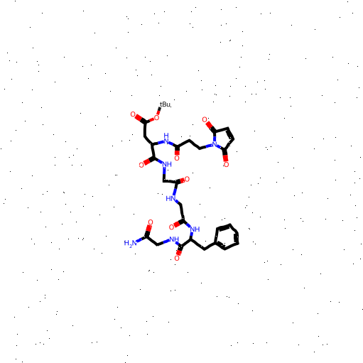 CC(C)(C)OC(=O)CC(NC(=O)CCN1C(=O)C=CC1=O)C(=O)NCC(=O)NCC(=O)NC(Cc1ccccc1)C(=O)NCC(N)=O